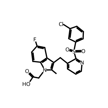 Cc1c(Cc2cccnc2S(=O)(=O)c2cccc(Cl)c2)c2cc(F)ccc2n1CC(=O)O